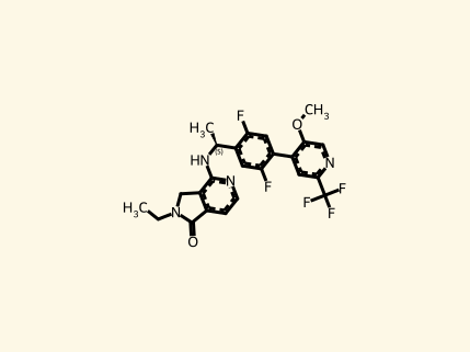 CCN1Cc2c(ccnc2N[C@@H](C)c2cc(F)c(-c3cc(C(F)(F)F)ncc3OC)cc2F)C1=O